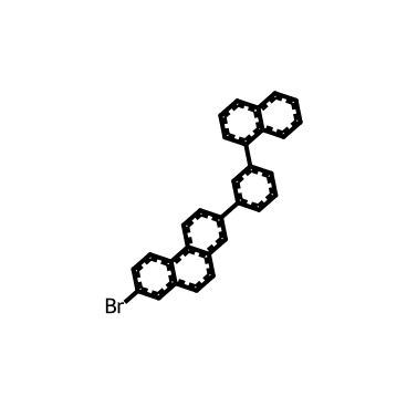 Brc1ccc2c(ccc3cc(-c4cccc(-c5cccc6ccccc56)c4)ccc32)c1